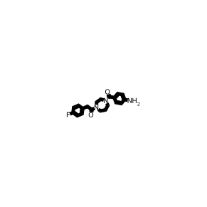 Nc1ccc(C(=O)N2CCCN(C(=O)Cc3ccc(F)cc3)CC2)cc1